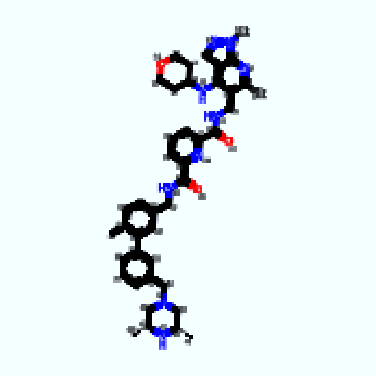 CCc1nc2c(cnn2CC)c(NC2CCOCC2)c1CNC(=O)c1cccc(C(=O)NCc2ccc(C)c(-c3cccc(CN4C[C@@H](C)N[C@@H](C)C4)c3)c2)n1